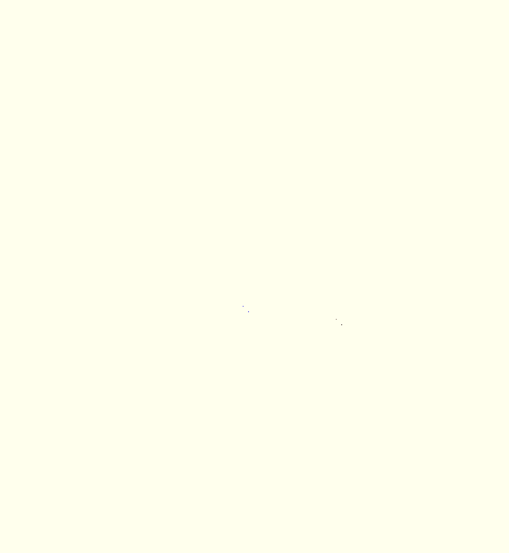 Cc1nc(-c2cccc(O)c2)cc(-c2cccc(C(F)(F)F)c2)c1C#N